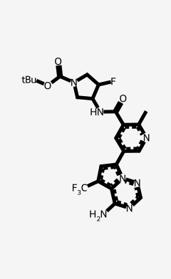 Cc1ncc(-c2cc(C(F)(F)F)c3c(N)ncnn23)cc1C(=O)NC1CN(C(=O)OC(C)(C)C)CC1F